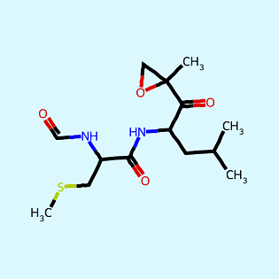 CSCC(NC=O)C(=O)NC(CC(C)C)C(=O)C1(C)CO1